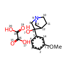 COc1cccc(C2(O)CN3CCC2C3)c1.O=C(O)C(=O)O